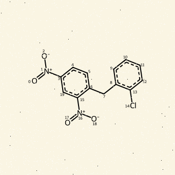 O=[N+]([O-])c1ccc(Cc2ccccc2Cl)c([N+](=O)[O-])c1